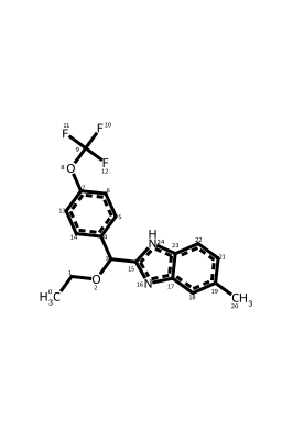 CCOC(c1ccc(OC(F)(F)F)cc1)c1nc2cc(C)ccc2[nH]1